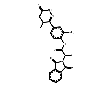 CC1CC(=O)NN=C1c1ccc(NC(=O)C(C)N2C(=O)c3ccccc3C2=O)c(N)c1